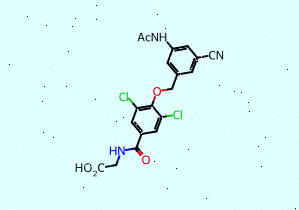 CC(=O)Nc1cc(C#N)cc(COc2c(Cl)cc(C(=O)NCC(=O)O)cc2Cl)c1